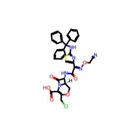 N#CCO/N=C(/C(=O)N[C@@H]1C(=O)N2C(C(=O)O)=C(CCl)OC[C@H]12)c1csc(NC(c2ccccc2)(c2ccccc2)c2ccccc2)n1